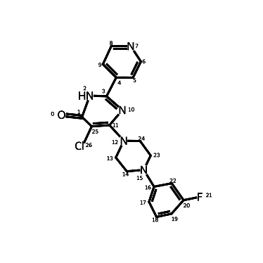 O=c1[nH]c(-c2ccncc2)nc(N2CCN(c3cccc(F)c3)CC2)c1Cl